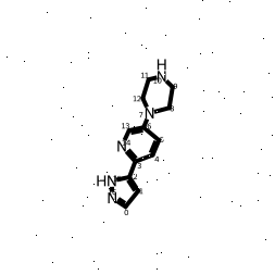 c1cc(-c2ccc(N3CCNCC3)cn2)[nH]n1